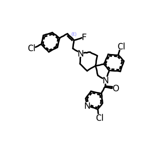 O=C(c1ccnc(Cl)c1)N1CC2(CCN(C/C(F)=C\c3ccc(Cl)cc3)CC2)c2cc(Cl)ccc21